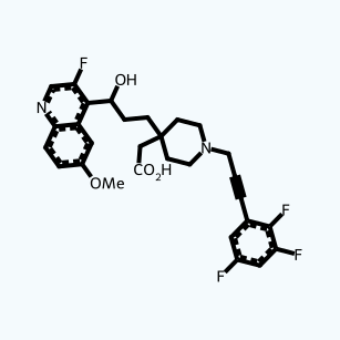 COc1ccc2ncc(F)c(C(O)CCC3(CC(=O)O)CCN(CC#Cc4cc(F)cc(F)c4F)CC3)c2c1